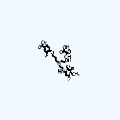 CC(=O)c1ccc(OCCCN(CCO)CCNc2cc(=O)n(C)c(=O)n2C)c(F)c1.O=C(O)C(=O)O